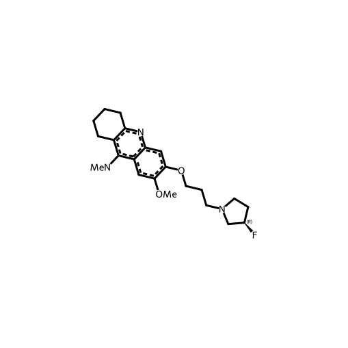 CNc1c2c(nc3cc(OCCCN4CC[C@@H](F)C4)c(OC)cc13)CCCC2